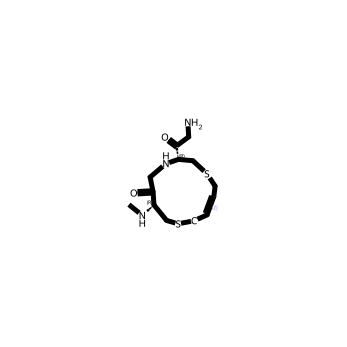 CN[C@H]1CSC/C=C\CSC[C@@H](C(=O)CN)NCC1=O